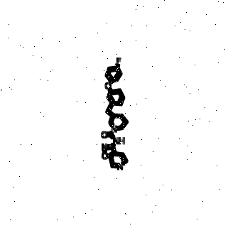 O=C(Nc1noc2cnccc12)N1CCCC(Cc2cccc(Oc3ccc(F)cc3)c2)C1